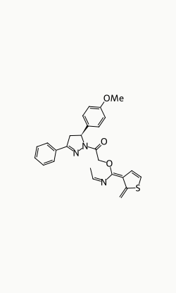 C=c1scc/c1=C(/N=C\C)OCC(=O)N1N=C(c2ccccc2)C[C@H]1c1ccc(OC)cc1